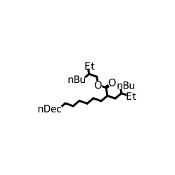 CCCCCCCCCCCCCCCCC(CC(CC)CCCC)C(=O)OCC(CC)CCCC